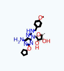 COc1ccc(CNc2nc3c(N)nc(OC4CCCC4)nc3n2[C@@H]2O[C@H](C)[C@@H](O)[C@H]2O)cc1